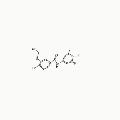 CC(=O)CSc1cc(C(=O)Nc2cc(F)c(F)c(F)c2)ccc1Cl